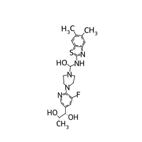 Cc1cc2nc(NC(O)N3CCN(c4ncc([C@H](O)[C@H](C)O)cc4F)CC3)sc2cc1C